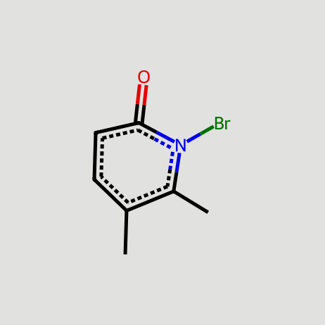 Cc1ccc(=O)n(Br)c1C